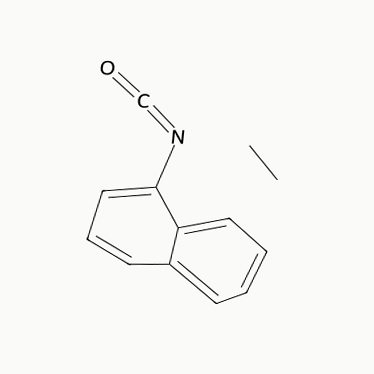 CC.O=C=Nc1cccc2ccccc12